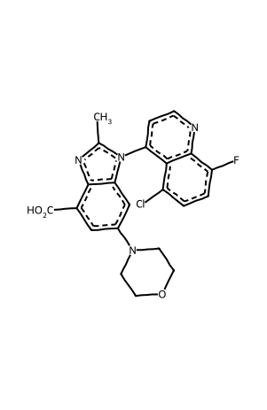 Cc1nc2c(C(=O)O)cc(N3CCOCC3)cc2n1-c1ccnc2c(F)ccc(Cl)c12